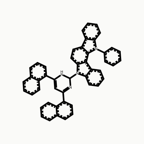 C1=C(c2cccc3ccccc23)NC(n2c3ccccc3c3c4c(ccc32)c2ccccc2n4-c2ccccc2)N=C1c1cccc2ccccc12